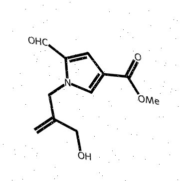 C=C(CO)Cn1cc(C(=O)OC)cc1C=O